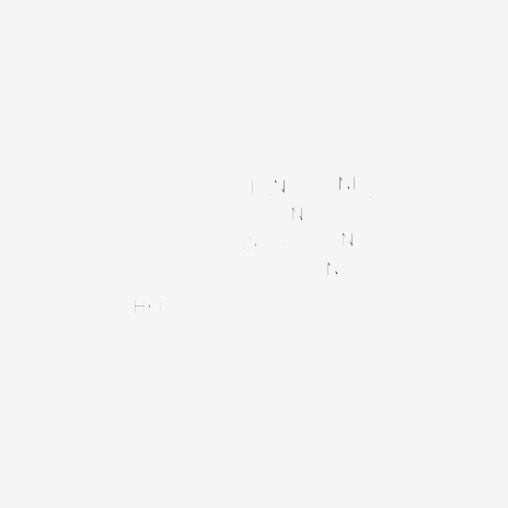 Nc1nnc(Cc2ccc(O)cc2)c(=O)n1N